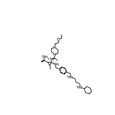 C=C(N)C1C(C)C1(/N=C(\C)N1CCN(CCOCC)CC1)NCc1ccc(CNCCCNC2CCCCC2)cc1